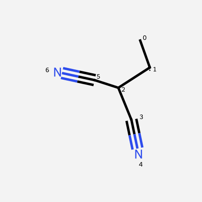 C[CH]C(C#N)C#N